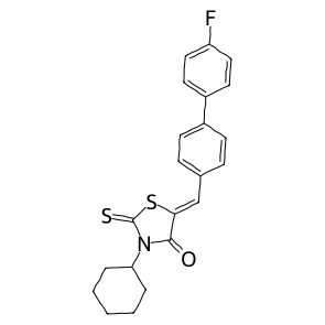 O=C1C(=Cc2ccc(-c3ccc(F)cc3)cc2)SC(=S)N1C1CCCCC1